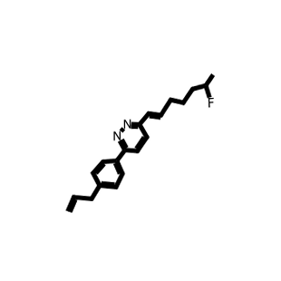 C=CCc1ccc(-c2ccc(C=CCCCC(C)F)nn2)cc1